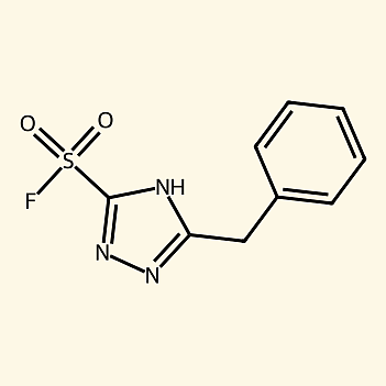 O=S(=O)(F)c1nnc(Cc2ccccc2)[nH]1